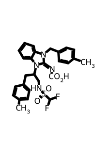 Cc1ccc(CC(CNS(=O)(=O)C(F)F)n2c(=NC(=O)O)n(Cc3ccc(C)cc3)c3ccccc32)cc1